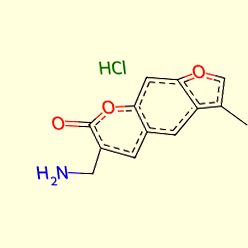 Cc1coc2cc3oc(=O)c(CN)cc3cc12.Cl